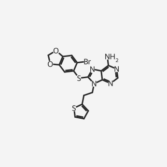 Nc1ncnc2c1nc(Sc1cc3c(cc1Br)OCO3)n2CCc1cccs1